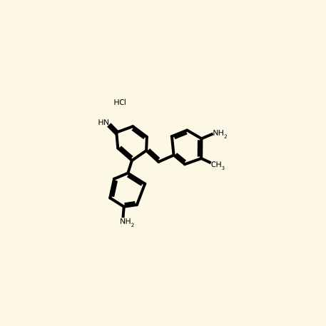 Cc1cc(C=C2C=CC(=N)C=C2c2ccc(N)cc2)ccc1N.Cl